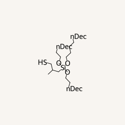 CCCCCCCCCCCCCCO[Si](CC(C)CS)(OCCCCCCCCCCCC)OCCCCCCCCCCCC